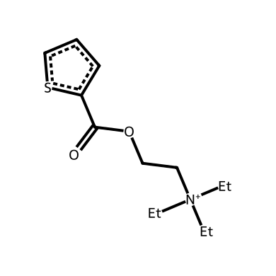 CC[N+](CC)(CC)CCOC(=O)c1cccs1